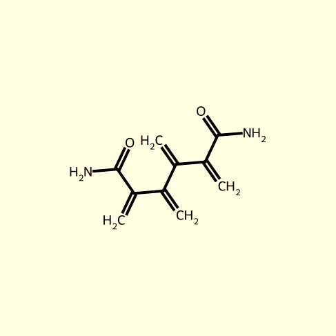 C=C(C(=C)C(=C)C(N)=O)C(=C)C(N)=O